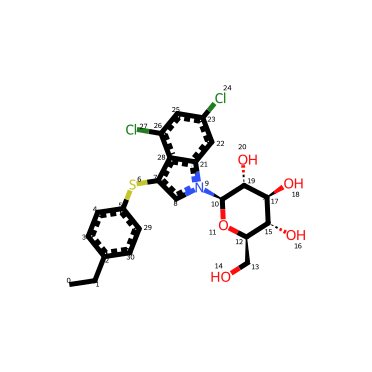 CCc1ccc(Sc2cn([C@@H]3O[C@H](CO)[C@@H](O)[C@H](O)[C@H]3O)c3cc(Cl)cc(Cl)c23)cc1